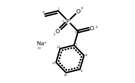 C=CP(=O)([O-])C(=O)c1ccccc1.[Na+]